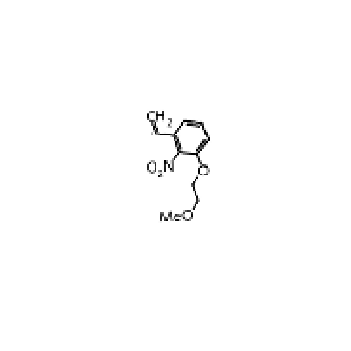 C=[C]c1cccc(OCCOC)c1[N+](=O)[O-]